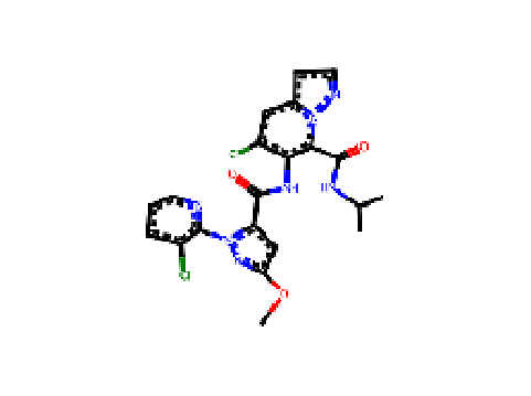 COc1cc(C(=O)Nc2c(Cl)cc3ccnn3c2C(=O)NC(C)C)n(-c2ncccc2Cl)n1